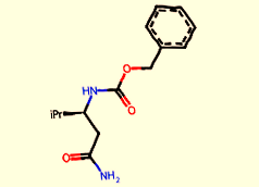 CC(C)[C@H](CC(N)=O)NC(=O)OCc1ccccc1